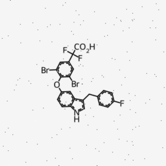 O=C(O)C(F)(F)c1cc(Br)c(Oc2ccc3[nH]cc(Cc4ccc(F)cc4)c3c2)c(Br)c1